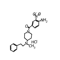 CN(CCc1ccccc1)C1CCN(C(=O)c2ccc(N)c([N+](=O)[O-])c2)CC1.Cl